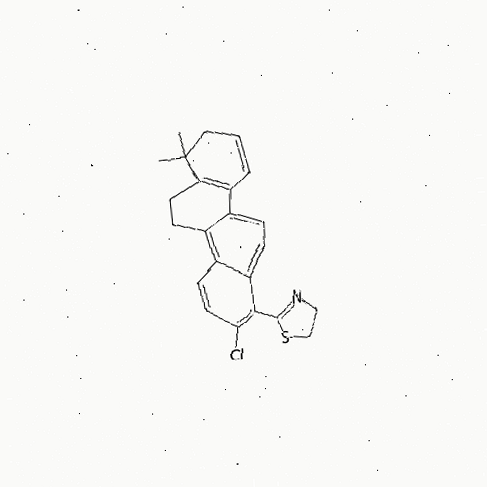 CC1(C)CC=CC2=C1CCc1c2ccc2c(C3=NCCS3)c(Cl)ccc12